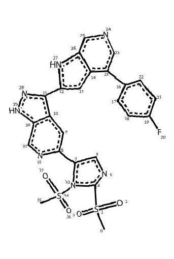 CS(=O)(=O)c1ncc(-c2cc3c(-c4cc5c(-c6ccc(F)cc6)cncc5[nH]4)n[nH]c3cn2)n1S(C)(=O)=O